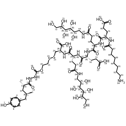 C[C@@H](Cc1ccc(O)cc1)C[C@H](C)C(=O)NNC(=O)OCCSSC[C@H](NC(=O)[C@@H](CCC(=O)NC[C@H](O)[C@@H](O)[C@H](O)[C@H](O)CO)NC(=O)[C@@H](CCC(=O)O)NC(=O)[C@@H](CCC(=O)NC[C@H](O)[C@@H](O)[C@H](O)[C@H](O)CO)NC(=O)[C@@H](CCC(=O)O)NC(=O)CCCCCCCN)C(=O)O